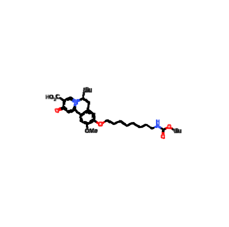 COc1cc2c(cc1OCCCCCCCCNC(=O)OC(C)(C)C)C[C@H](C(C)(C)C)n1cc(C(=O)O)c(=O)cc1-2